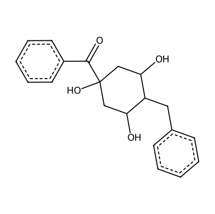 O=C(c1ccccc1)C1(O)CC(O)C(Cc2ccccc2)C(O)C1